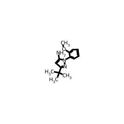 COc1ccccc1-n1nc(C(C)(C)C)cc1N